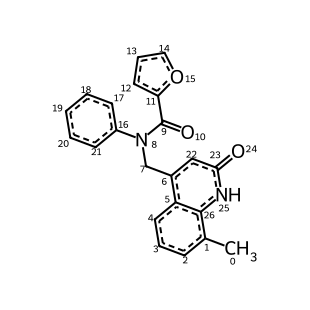 Cc1cccc2c(CN(C(=O)c3ccco3)c3ccccc3)cc(=O)[nH]c12